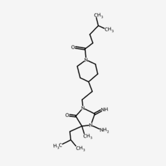 CC(C)CCC(=O)N1CCC(CCN2C(=N)N(N)C(C)(CC(C)C)C2=O)CC1